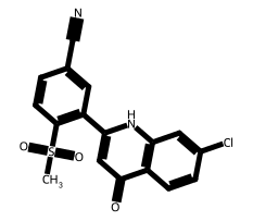 CS(=O)(=O)c1ccc(C#N)cc1-c1cc(=O)c2ccc(Cl)cc2[nH]1